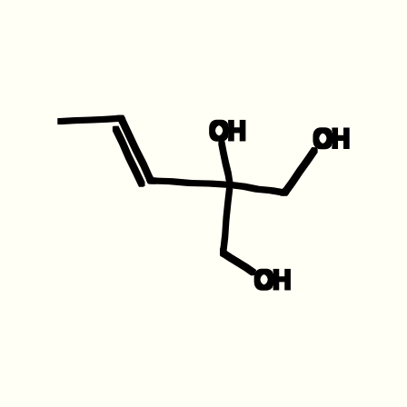 CC=CC(O)(CO)CO